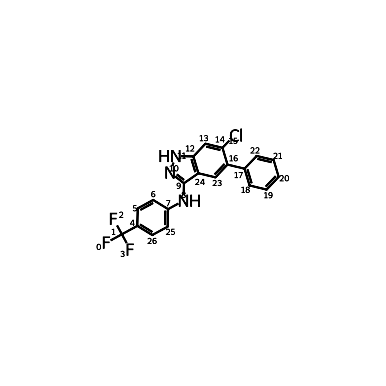 FC(F)(F)c1ccc(Nc2n[nH]c3cc(Cl)c(-c4ccccc4)cc23)cc1